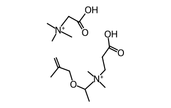 C=C(C)COC(C)[N+](C)(C)CCC(=O)O.C[N+](C)(C)CC(=O)O